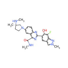 CNC(=O)c1nc(-c2cc3cn(C)nc3c(F)c2O)nc2ccc(N3CC[C@@](C)(NC)C3)cc12